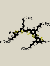 CCCCCCCCCCCCCCc1cc(-c2cc(CCCCCCCCCCCCCC)c(C(C)C)s2)sc1-c1cc2cc(CCCCCCCCCCCCCC)c3c(sc4c3sc3c5sc(C(C)C)cc5cc(CCCCCCCCCCCCCC)c34)c2s1